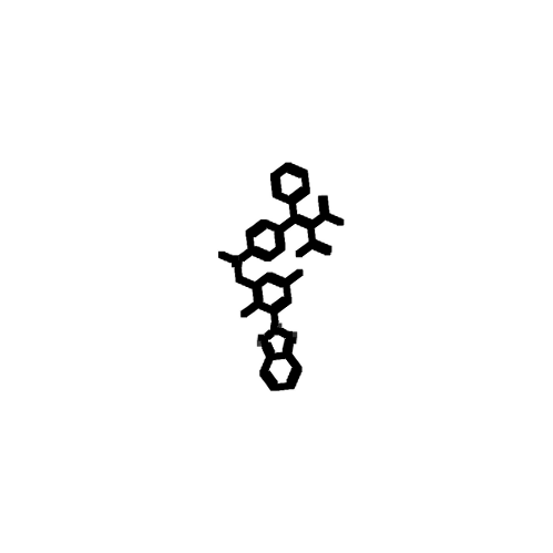 C=C(C)C(C(=C)C)=C(c1ccccc1)c1ccc(N(C)Cc2cc(C)cc(-n3nc4ccccc4n3)c2C)cc1